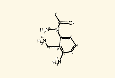 CC(=O)N(N)c1cccc(N)c1CN